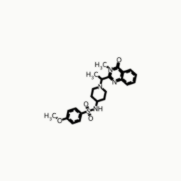 COc1ccc(S(=O)(=O)NC2CCN(C(C)c3nc4ccccc4c(=O)n3C)CC2)cc1